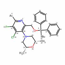 CC(=O)c1nc(CO[Si](c2ccccc2)(c2ccccc2)C(C)(C)C)c(N2C[C@@H](C)O[C@@H](C)C2)c(Cl)c1F